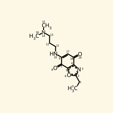 CCc1nc2c(o1)C(=O)C(NCCCN(C)C)=CC2=O